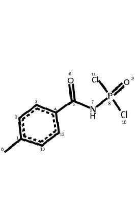 Cc1ccc(C(=O)NP(=O)(Cl)Cl)cc1